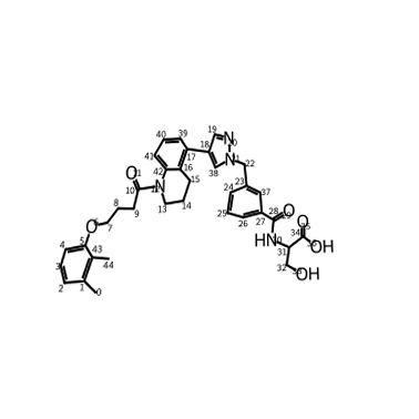 Cc1cccc(OCCCC(=O)N2CCCc3c(-c4cnn(Cc5cccc(C(=O)NC(CO)C(=O)O)c5)c4)cccc32)c1C